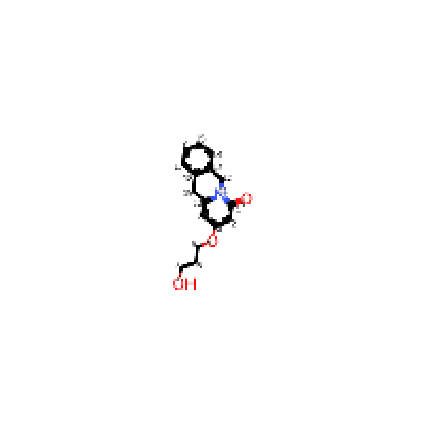 O=c1cc(OCCCO)cc2n1Cc1ccccc1C2